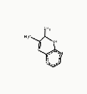 CC1=Nc2nccnc2NC1C